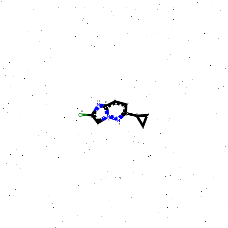 Clc1cn2nc(C3CC3)ccc2n1